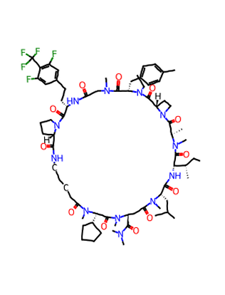 CC[C@H](C)[C@@H]1NC(=O)[C@H](CC(C)C)N(C)C(=O)C[C@@H](C(=O)N(C)C)N(C)C(=O)[C@H](C2CCCC2)N(C)C(=O)CCCCNC(=O)[C@@H]2CCCN2C(=O)[C@H](CCc2cc(F)c(C(F)(F)F)c(F)c2)NC(=O)CN(C)C(=O)[C@H](Cc2ccc(C)cc2)N(CC)C(=O)[C@@H]2CCN2C(=O)[C@H](C)N(C)C1=O